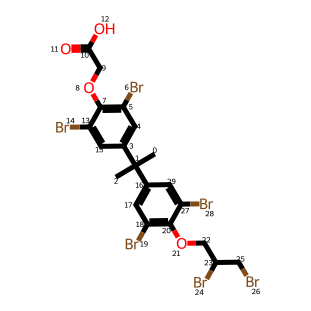 CC(C)(c1cc(Br)c(OCC(=O)O)c(Br)c1)c1cc(Br)c(OCC(Br)CBr)c(Br)c1